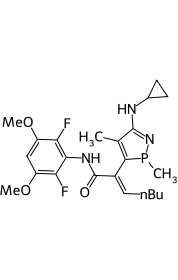 CCCC/C=C(/C(=O)Nc1c(F)c(OC)cc(OC)c1F)c1c(C)c(NC2CC2)np1C